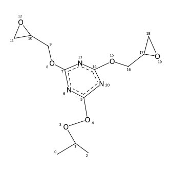 CC(C)OOc1nc(OCC2CO2)nc(OCC2CO2)n1